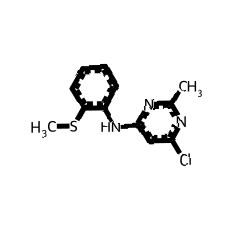 CSc1ccccc1Nc1cc(Cl)nc(C)n1